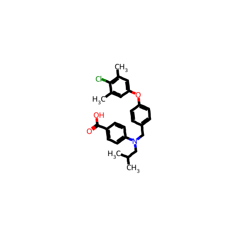 Cc1cc(Oc2ccc(CN(CC(C)C)c3ccc(C(=O)O)cc3)cc2)cc(C)c1Cl